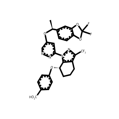 C[C@H](Oc1cnnc(-n2nc(C(F)(F)F)c3c2[C@@H](Oc2ccc(C(=O)O)cc2)CCC3)c1)c1ccc2c(c1)OC(F)(F)O2